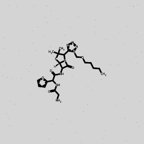 CCCCCOCn1nnnc1C1N2C(=O)C(NC(=O)C(NC(=O)CN)c3ccco3)[C@@H]2SC1(C)C